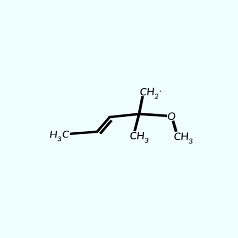 [CH2]C(C)(C=CC)OC